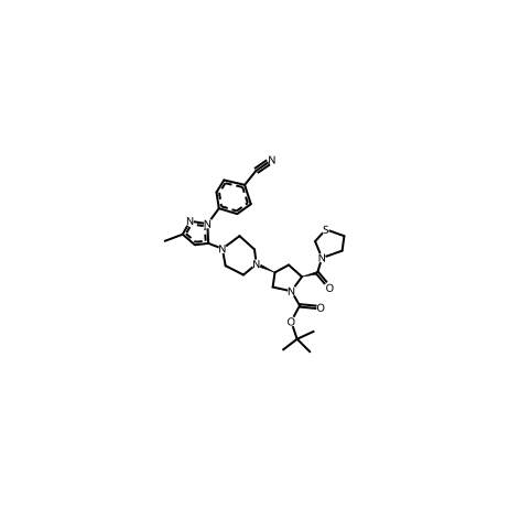 Cc1cc(N2CCN([C@H]3C[C@@H](C(=O)N4CCSC4)N(C(=O)OC(C)(C)C)C3)CC2)n(-c2ccc(C#N)cc2)n1